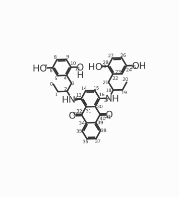 CCC(Cc1cc(O)ccc1O)Nc1ccc(NC(CC)Cc2cc(O)ccc2O)c2c1C(=O)c1ccccc1C2=O